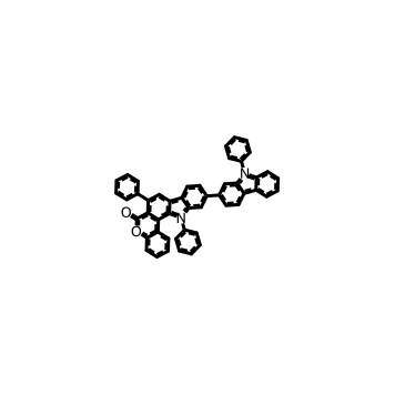 O=c1oc2ccccc2c2c1c(-c1ccccc1)cc1c3ccc(-c4ccc5c6ccccc6n(-c6ccccc6)c5c4)cc3n(-c3ccccc3)c12